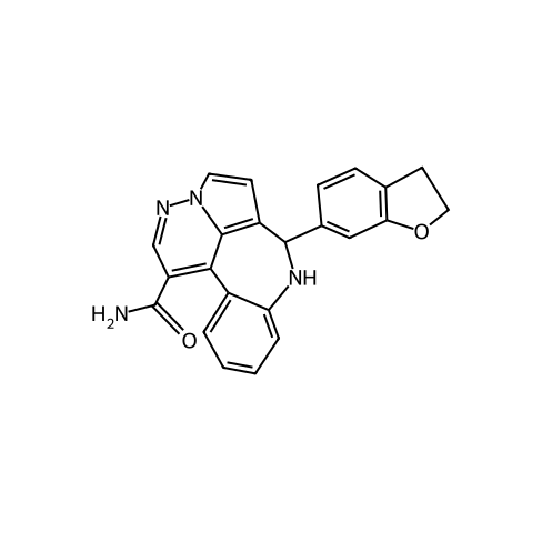 NC(=O)c1cnn2ccc3c2c1-c1ccccc1NC3c1ccc2c(c1)OCC2